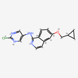 Clc1ncc(Nc2nccc3cc(OCC4CC4)ccc23)cn1